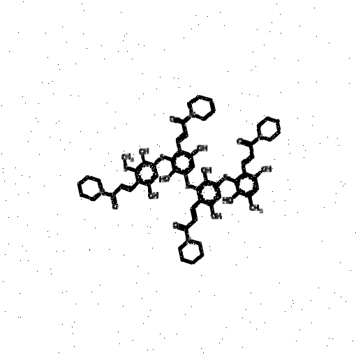 CSc1c(O)c(Sc2c(O)c(Sc3c(O)c(Sc4c(O)c(C)cc(O)c4/C=C/C(=O)N4CCCCC4)cc(O)c3/C=C/C(=O)N3CCCCC3)cc(O)c2/C=C/C(=O)N2CCCCC2)cc(O)c1/C=C/C(=O)N1CCCCC1